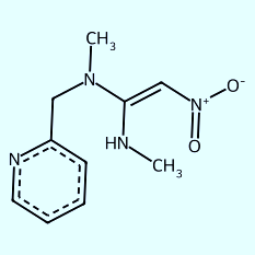 CNC(=C[N+](=O)[O-])N(C)Cc1ccccn1